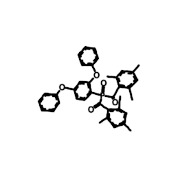 Cc1cc(C)c(C(=O)P(=O)(C(=O)c2c(C)cc(C)cc2C)c2ccc(Oc3ccccc3)cc2Oc2ccccc2)c(C)c1